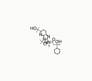 CC(C)(O)c1ccc2nc(NC(=O)C[C@](C)(O)c3ccccc3)n(C(C)(C)C(F)(F)F)c2n1